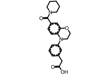 O=C(O)Cc1cccc(N2CCOc3cc(C(=O)N4CCCCC4)ccc32)c1